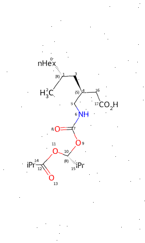 CCCCCC[C@@H](C)C[C@H](CNC(=O)O[C@@H](OC(=O)C(C)C)C(C)C)CC(=O)O